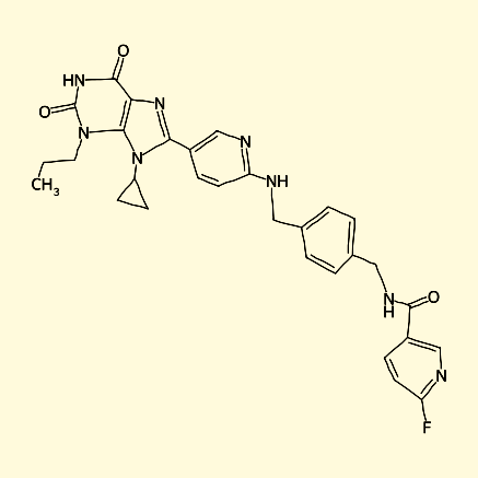 CCCn1c(=O)[nH]c(=O)c2nc(-c3ccc(NCc4ccc(CNC(=O)c5ccc(F)nc5)cc4)nc3)n(C3CC3)c21